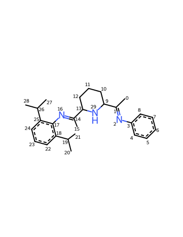 C/C(=N\c1ccccc1)C1CCCC(/C(C)=N/c2c(C(C)C)cccc2C(C)C)N1